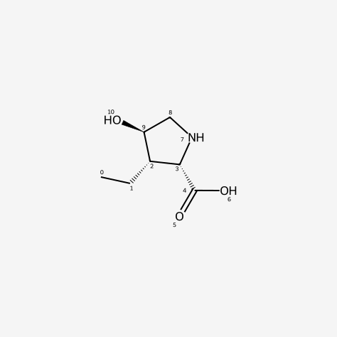 CC[C@H]1[C@@H](C(=O)O)NC[C@@H]1O